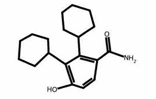 NC(=O)c1ccc(O)c(C2CCCCC2)c1C1CCCCC1